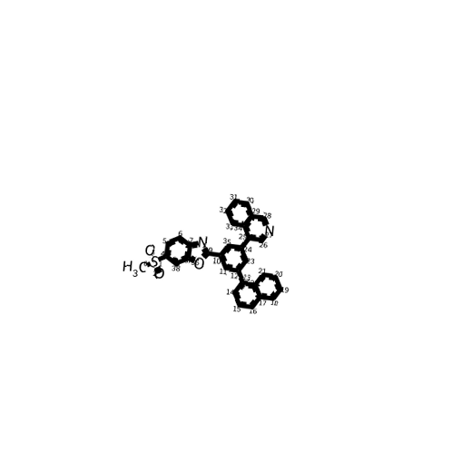 CS(=O)(=O)c1ccc2nc(-c3cc(-c4cccc5ccccc45)cc(-c4cncc5ccccc45)c3)oc2c1